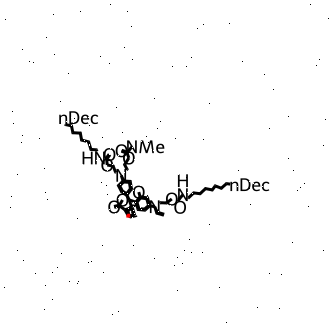 C=CN(CCOC(=O)NCCCCCCCCCCCCCCCCCC)c1ccc2c(c1)Oc1cc(N(CCOC(=O)NC)CCOC(=O)NCCCCCCCCCCCCCCCCCC)ccc1C21OC(=O)c2ccccc21